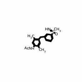 CC(=O)Nc1cc(C)c(Cc2cccc(S(C)(=N)=O)c2)cc1C